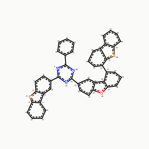 c1ccc(-c2nc(-c3ccc4sc5ccccc5c4c3)nc(-c3ccc4oc5cccc(-c6cccc7c6sc6ccccc67)c5c4c3)n2)cc1